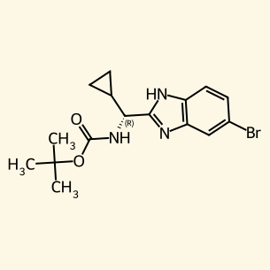 CC(C)(C)OC(=O)N[C@@H](c1nc2cc(Br)ccc2[nH]1)C1CC1